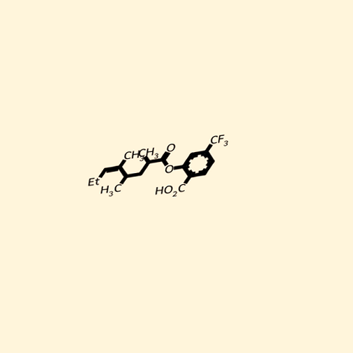 CC/C=C(/C)C(C)CC(C)C(=O)Oc1cc(C(F)(F)F)ccc1C(=O)O